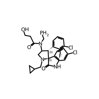 O=C(CCO)N(CP)C1CN(CC2CC2)[C@@]2(C(=O)Nc3cc(Cl)ccc32)[C@H]1c1cccc(Cl)c1F